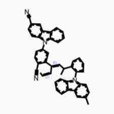 C/C=C\C(=C/C(C)c1ccccc1-n1c2ccccc2c2cc(C)ccc21)c1cc(-n2c3ccccc3c3cc(C#N)ccc32)ccc1C#N